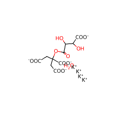 O.O=C([O-])CC(CC(=O)[O-])(OC(=O)C(O)C(O)C(=O)[O-])C(=O)[O-].[K+].[K+].[K+].[K+]